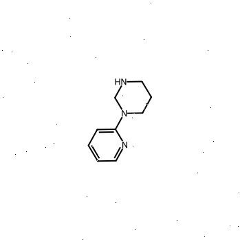 c1ccc(N2CCCNC2)nc1